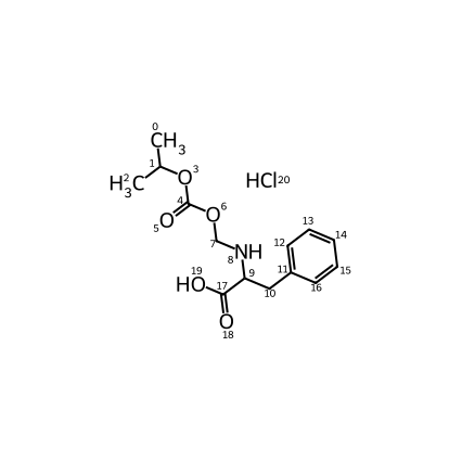 CC(C)OC(=O)OCNC(Cc1ccccc1)C(=O)O.Cl